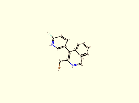 Fc1ccc(-c2c(CBr)ncc3ccccc23)cn1